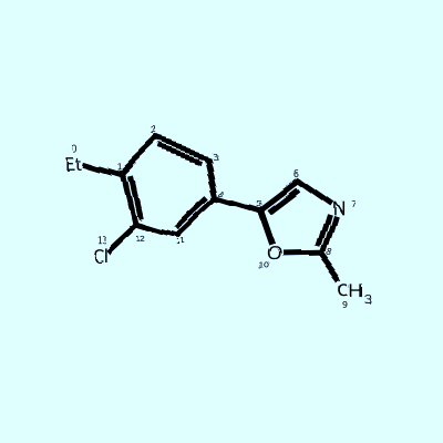 CCc1ccc(-c2cnc(C)o2)cc1Cl